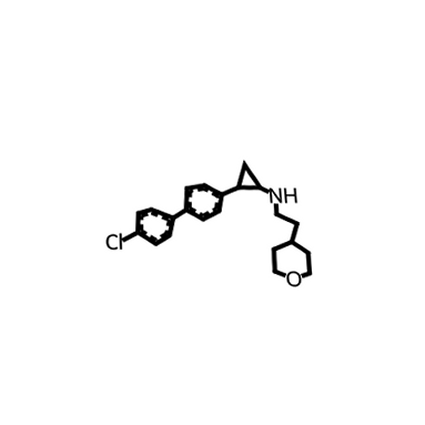 Clc1ccc(-c2ccc(C3CC3NCCC3CCOCC3)cc2)cc1